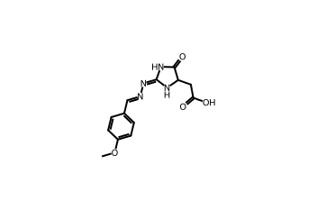 COc1ccc(C=NN=C2NC(=O)C(CC(=O)O)N2)cc1